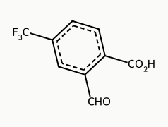 O=Cc1cc(C(F)(F)F)ccc1C(=O)O